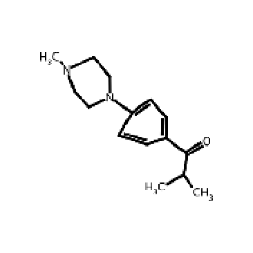 CC(C)C(=O)c1ccc(N2CCN(C)CC2)cc1